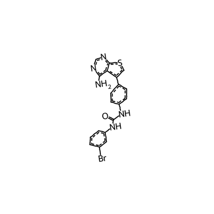 Nc1ncnc2scc(-c3ccc(NC(=O)Nc4cccc(Br)c4)cc3)c12